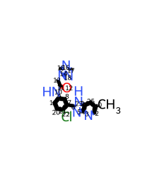 Cc1cnc2nc(-c3cc(NC(=O)Cn4cncn4)ccc3Cl)[nH]c2c1